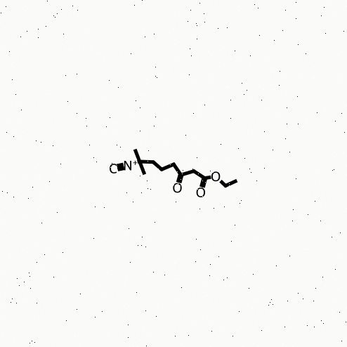 [C-]#[N+]C(C)(C)CCCC(=O)CC(=O)OCC